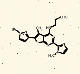 Cc1c(-c2ccn(C(C)C)n2)sc2nc(-c3nccn3C)nc(NCCC=O)c12